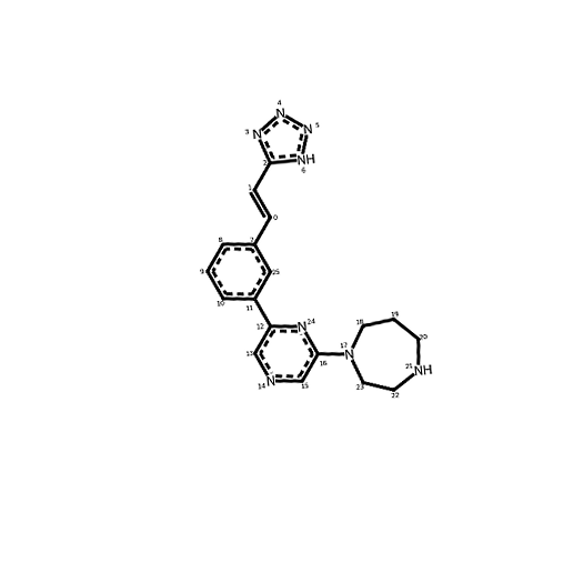 C(=C\c1nnn[nH]1)/c1cccc(-c2cncc(N3CCCNCC3)n2)c1